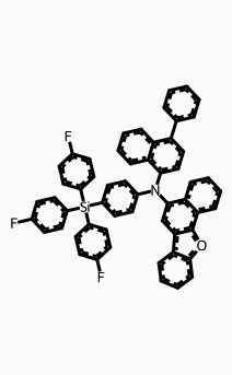 Fc1ccc([Si](c2ccc(F)cc2)(c2ccc(F)cc2)c2ccc(N(c3ccc(-c4ccccc4)c4ccccc34)c3cc4c5ccccc5oc4c4ccccc34)cc2)cc1